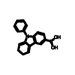 OB(O)c1ccc2c(c1)c1c(n2-c2ccccc2)=CCCC=1